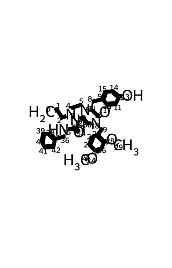 C=CCN1CCN2[C@@H](Cc3ccc(O)cc3)C(=O)N(Cc3ccc(OC)cc3OC)C[C@@H]2N1C(=O)NCc1ccccc1